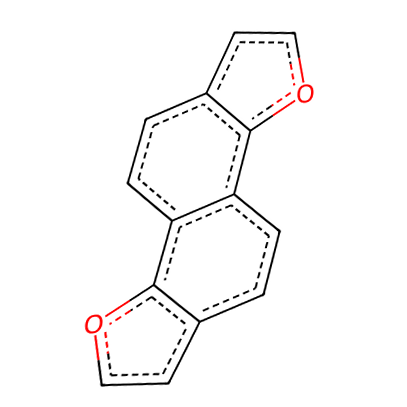 c1cc2ccc3c(ccc4ccoc43)c2o1